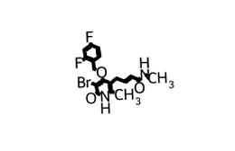 CNC(=O)/C=C/Cc1c(C)[nH]c(=O)c(Br)c1OCc1ccc(F)cc1F